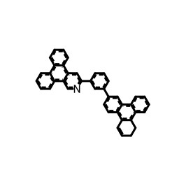 C1=Cc2c(c3ccccc3c3cc(-c4cccc(-c5cc6c7ccccc7c7ccccc7c6cn5)c4)ccc23)CC1